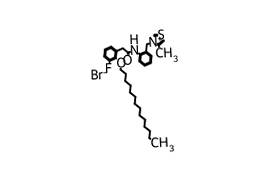 CCCCCCCCCCCCCCOc1c(F)cccc1CC(=O)Nc1ccccc1C[n+]1cscc1C.[Br-]